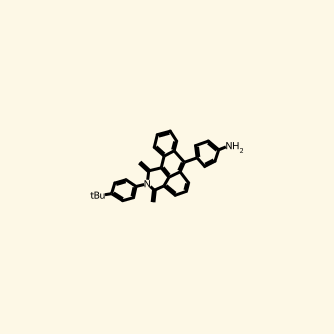 C=C1c2cccc3c(-c4ccc(N)cc4)c4ccccc4c(c23)C(=C)N1c1ccc(C(C)(C)C)cc1